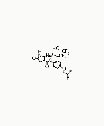 O=C1Cc2c(nc(OCC(F)(F)F)n(-c3ccc(OCC(F)F)cc3)c2=O)N1.OCC(F)(F)F